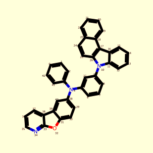 c1ccc(N(c2cccc(-n3c4ccccc4c4c5ccccc5ccc43)c2)c2ccc3oc4ncccc4c3c2)cc1